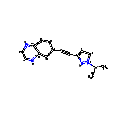 CC(C)n1ccc(C#Cc2ccc3nccnc3c2)n1